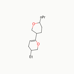 CCCC1CCC(C2=CCC(CC)CO2)CO1